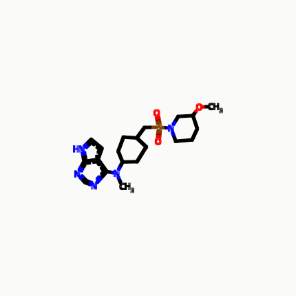 COC1CCCN(S(=O)(=O)CC2CCC(N(C)c3ncnc4[nH]ccc34)CC2)C1